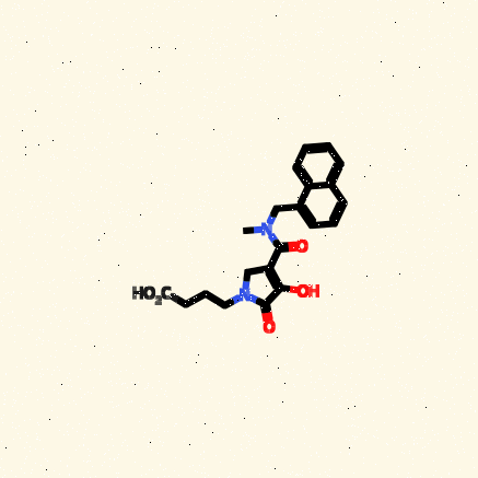 CN(Cc1cccc2ccccc12)C(=O)C1=C(O)C(=O)N(CCCC(=O)O)C1